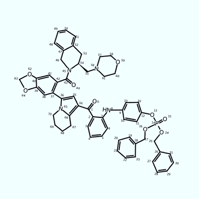 O=C(c1ccccc1Nc1ccc(OP(=O)(OCc2ccccc2)OCc2ccccc2)cc1)c1cc(-c2cc3c(cc2C(=O)N2Cc4ccccc4C[C@H]2CN2CCOCC2)OCO3)n2c1CCCC2